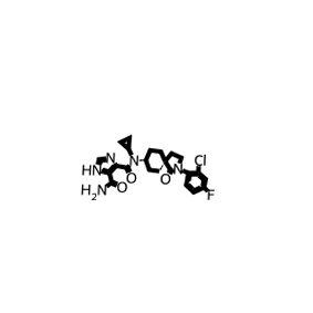 NC(=O)c1[nH]cnc1C(=O)N(C1CC1)[C@H]1CC[C@@]2(CCN(c3ccc(F)cc3Cl)C2=O)CC1